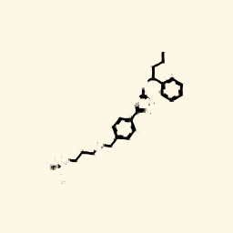 CCCC(Sc1nnc(-c2ccc(CNCCCO[PH](=O)O)cc2)o1)c1ccccc1